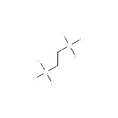 CC[Si](F)(F)CC[Si](F)(CC)CC